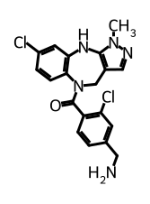 Cn1ncc2c1Nc1cc(Cl)ccc1N(C(=O)c1ccc(CN)cc1Cl)C2